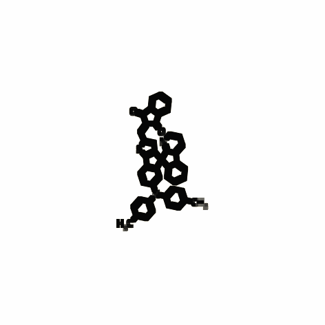 Cc1ccc(N(c2ccc(C)cc2)c2ccc3c(c2)C2(c4ccccc4-c4cccnc42)c2cc(C=C4C(=O)c5ccccc5C4=O)sc2-3)cc1